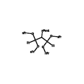 CCCCCC([Si](CC)(OCCC)OCCC)[Si](CC)(OCCC)OCCC